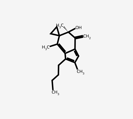 C=C1C2=CC(C)=C(CCCC)C2=C(C)C2(CC2)[C@@]1(C)O